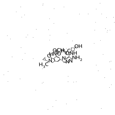 C[C@@H](C1CC1)N1Cc2cc(-c3ccn4nc(N)c(C(=O)NC5(C)CC(O)C5)c4n3)cc(NS(C)(=O)=O)c2C1=O